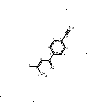 C/C(N)=C/C(=O)c1ccc(C#N)cc1